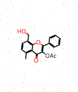 CC(=O)Oc1c(-c2ccccc2)oc2c(CO)ccc(C)c2c1=O